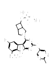 CNc1cc(F)cc2c1[nH]c1nc(Oc3cnc(C)nc3)nc(N3CC4CC(OP(=O)(O)OC(C)C)C4C3)c12